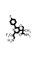 C[C@]1(C(N)=O)COc2c1cc([C@@H](CN)C(F)(F)F)nc2-c1ccc(F)cc1